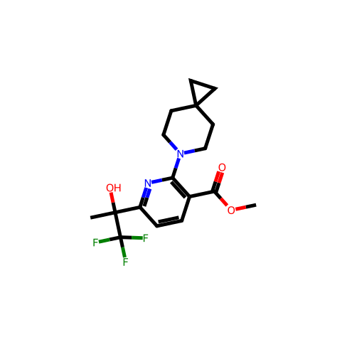 COC(=O)c1ccc(C(C)(O)C(F)(F)F)nc1N1CCC2(CC1)CC2